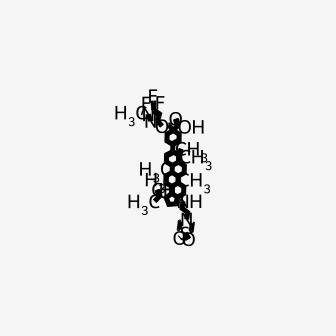 C=C(C)[C@@H]1CC[C@]2(NCCN3CCS(=O)(=O)CC3)CC[C@]3(C)[C@H](CCC4[C@@]5(C)CC=C(C6=CCC(COc7cc(C(F)(F)F)n(C)n7)(C(=O)O)CC6)C(C)(C)C5CC[C@]43C)C12